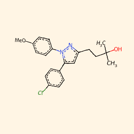 COc1ccc(-n2nc(CCC(C)(C)O)cc2-c2ccc(Cl)cc2)cc1